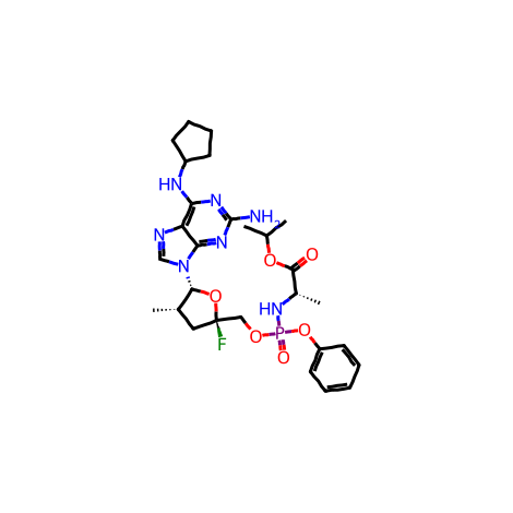 CC(C)OC(=O)[C@H](C)NP(=O)(OC[C@]1(F)C[C@H](C)[C@H](n2cnc3c(NC4CCCC4)nc(N)nc32)O1)Oc1ccccc1